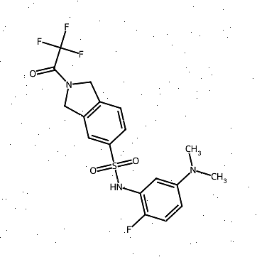 CN(C)c1ccc(F)c(NS(=O)(=O)c2ccc3c(c2)CN(C(=O)C(F)(F)F)C3)c1